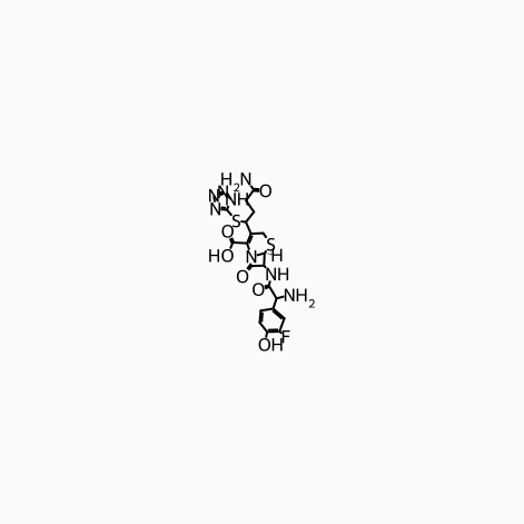 NC(=O)CCC(Sc1nnn[nH]1)C1=C(C(=O)O)N2C(=O)C(NC(=O)C(N)c3ccc(O)c(F)c3)[C@@H]2SC1